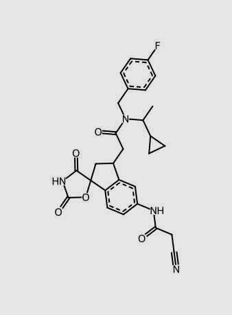 CC(C1CC1)N(Cc1ccc(F)cc1)C(=O)CC1CC2(OC(=O)NC2=O)c2ccc(NC(=O)CC#N)cc21